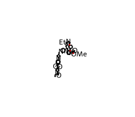 C=CC(=O)N1CC(S(=O)(=O)c2ccc(N3CC(CN4CCC(C(Cn5ccnc5CC)(c5cccc(F)c5)[C@H]5CCC[C@@H]5NC(=O)OC)CC4)C3)cc2)C1